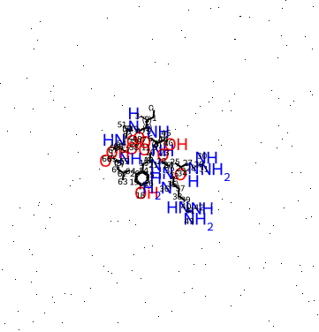 CC[C@H](C)[C@H](NC(=O)[C@@H](NC(=O)[C@H](Cc1ccc(O)cc1)NC(=O)[C@H](CCCNC(=N)N)NC(=O)[C@@H](N)CCCNC(=N)N)[C@@H](C)O)C(=O)N[C@@H](C)C(=O)N[C@@H](C)C(=O)N[C@@H](CC(C)C)C(=O)O